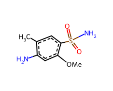 COc1cc(N)c(C)cc1S(N)(=O)=O